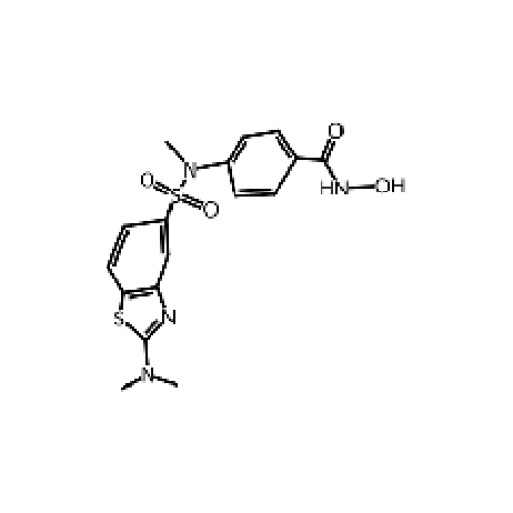 CN(C)c1nc2cc(S(=O)(=O)N(C)c3ccc(C(=O)NO)cc3)ccc2s1